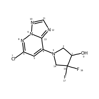 OC1CN(c2cc(Cl)nn3ncnc23)CC1(F)F